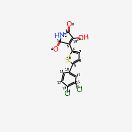 O=C1NC(=O)C(c2ccc(-c3ccc(Cl)c(Cl)c3)s2)=C1O